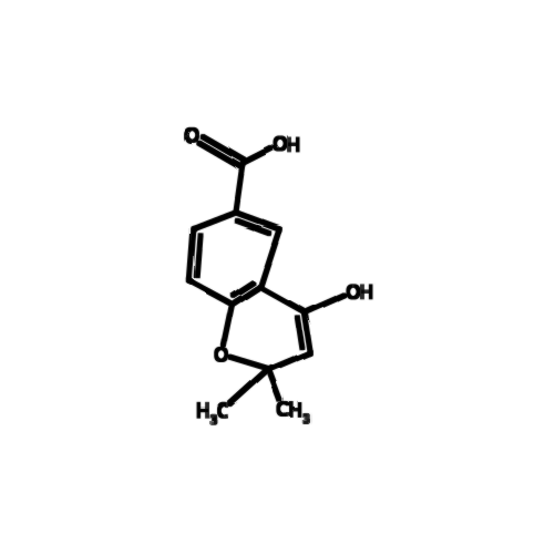 CC1(C)C=C(O)c2cc(C(=O)O)ccc2O1